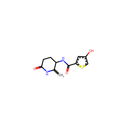 C=C1NC(=O)CCC1NC(=O)c1cc(O)cs1